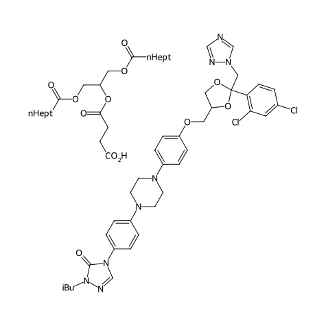 CCC(C)n1ncn(-c2ccc(N3CCN(c4ccc(OCC5COC(Cn6cncn6)(c6ccc(Cl)cc6Cl)O5)cc4)CC3)cc2)c1=O.CCCCCCCC(=O)OCC(COC(=O)CCCCCCC)OC(=O)CCC(=O)O